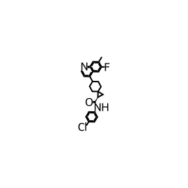 Cc1cc2nccc(C3CCC4(CC3)C[C@H]4C(=O)Nc3ccc(Cl)cc3)c2cc1F